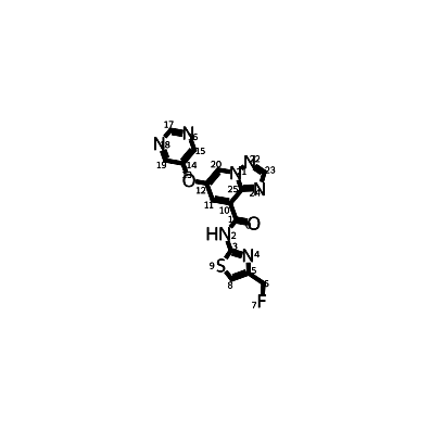 O=C(Nc1nc(CF)cs1)c1cc(Oc2cncnc2)cn2ncnc12